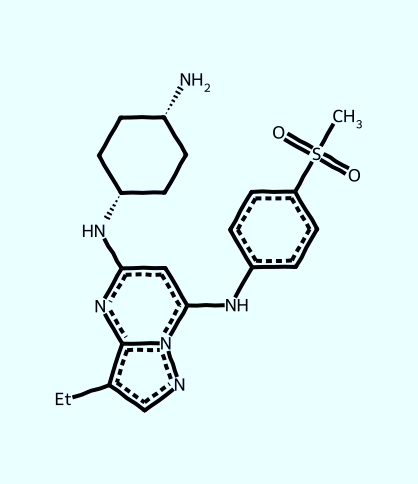 CCc1cnn2c(Nc3ccc(S(C)(=O)=O)cc3)cc(N[C@H]3CC[C@@H](N)CC3)nc12